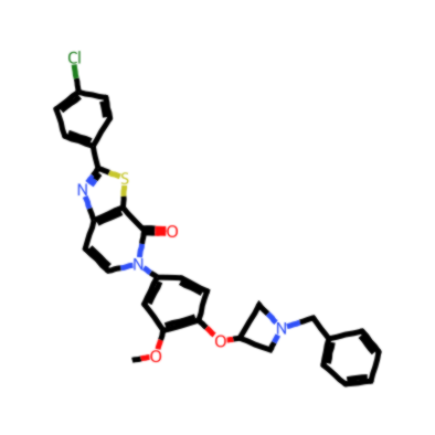 COc1cc(-n2ccc3nc(-c4ccc(Cl)cc4)sc3c2=O)ccc1OC1CN(Cc2ccccc2)C1